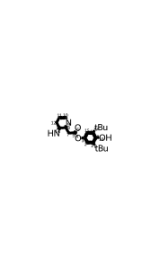 CC(C)(C)c1cc(OC(=O)CC2=NC=CCC2=N)cc(C(C)(C)C)c1O